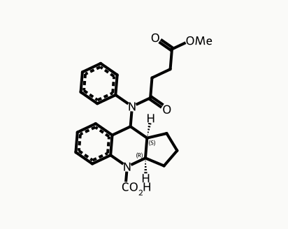 COC(=O)CCC(=O)N(c1ccccc1)C1c2ccccc2N(C(=O)O)[C@@H]2CCC[C@H]12